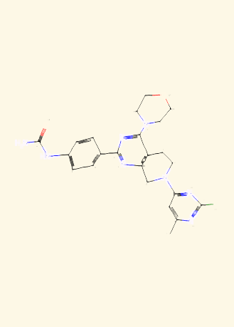 Cc1cc(N2CCc3c(nc(-c4ccc(NC(N)=O)cc4)nc3N3CCOCC3)C2)nc(Cl)n1